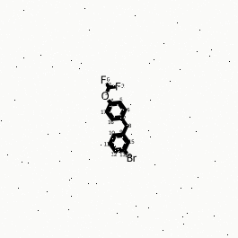 FC(F)Oc1ccc(Cc2cccc(Br)c2)cc1